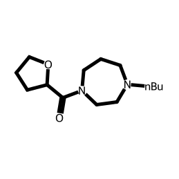 CCCCN1CCCN(C(=O)C2CCCO2)CC1